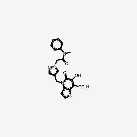 CN(C(=O)Cn1cc(Cn2c(=O)c(O)c(C(=O)O)c3sccc32)cn1)c1ccccc1